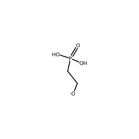 [O]CCP(=O)(O)O